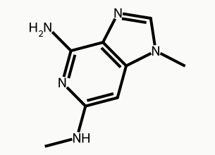 CNc1cc2c(ncn2C)c(N)n1